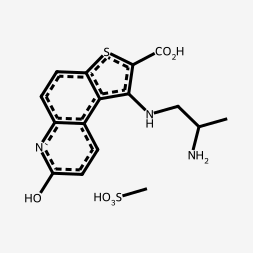 CC(N)CNc1c(C(=O)O)sc2ccc3nc(O)ccc3c12.CS(=O)(=O)O